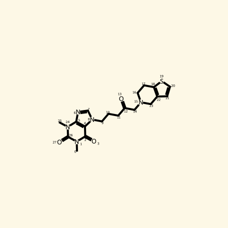 Cn1c(=O)c2c(ncn2CCCC(=O)CN2CCc3sccc3C2)n(C)c1=O